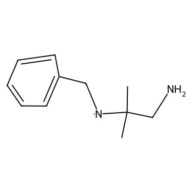 CC(C)(CN)[N]Cc1ccccc1